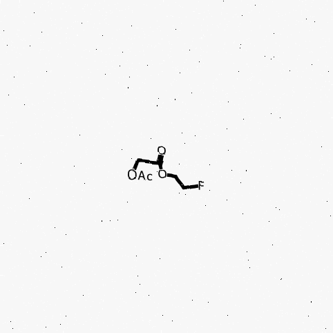 [CH2]C(=O)OCC(=O)OCCF